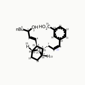 CCCCC(O)C=C[C@H]1[C@H](C/C=C\c2cccc(C(=O)O)c2)[C@@H]2CC[C@H]1O2